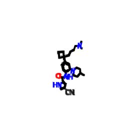 CC1CCN(c2cc(C3(CCCCN(C)C)CCC3)ccc2NC(=O)c2cc(C#N)c[nH]2)CC1